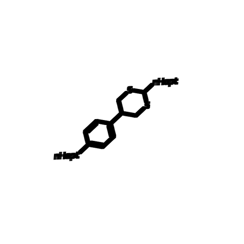 CCCCCCCc1ccc(C2CSC(CCCCCCC)SC2)cc1